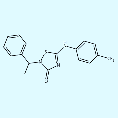 CC(c1ccccc1)n1sc(Nc2ccc(C(F)(F)F)cc2)nc1=O